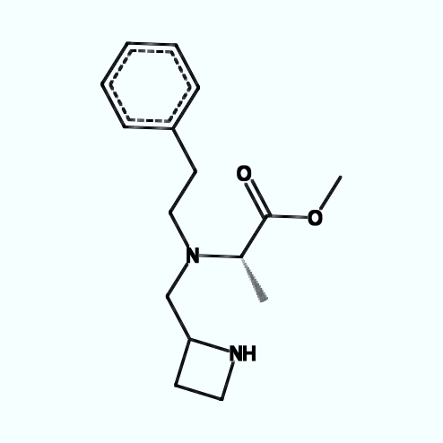 COC(=O)[C@H](C)N(CCc1ccccc1)CC1CCN1